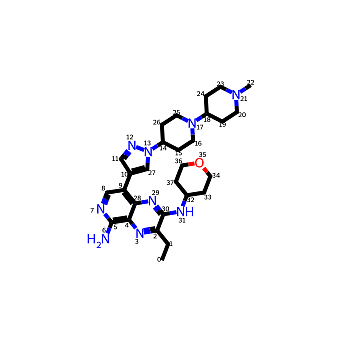 CCc1nc2c(N)ncc(-c3cnn(C4CCN(C5CCN(C)CC5)CC4)c3)c2nc1NC1CCOCC1